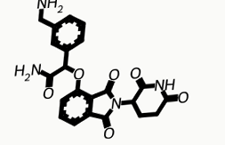 NCc1cccc(C(Oc2cccc3c2C(=O)N(C2CCC(=O)NC2=O)C3=O)C(N)=O)c1